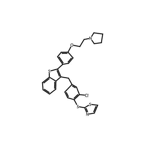 Clc1cc(Cc2c(-c3ccc(OCCN4CCCC4)cc3)sc3ccccc23)ccc1Sc1nccs1